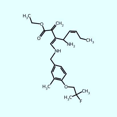 C=C(C(=O)OCC)/C(=C/NCc1ccc(OCC(C)(C)F)c(C)c1)C(N)/C=C\CC